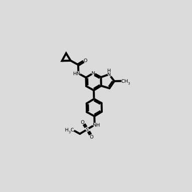 CCS(=O)(=O)Nc1ccc(-c2cc(NC(=O)C3CC3)nc3[nH]c(C)cc23)cc1